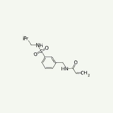 C=CC(=O)NCc1cccc(S(=O)(=O)NCC(C)C)c1